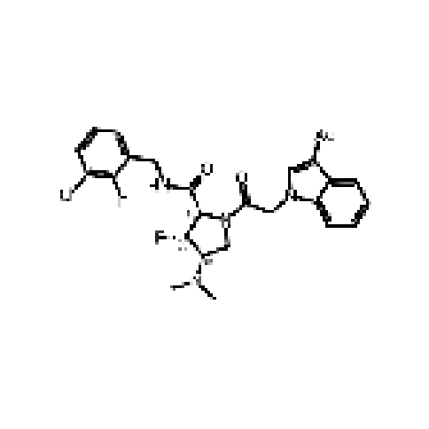 CC(=O)c1cn(CC(=O)N2C[C@@H](N(C)C)[C@H](F)[C@H]2C(=O)NCc2cccc(Cl)c2F)c2ccccc12